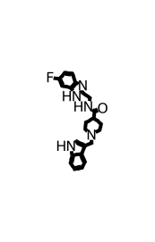 O=C(NCc1nc2ccc(F)cc2[nH]1)C1CCN(Cc2c[nH]c3ccccc23)CC1